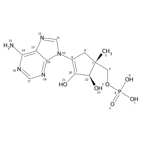 C[C@]1(COP(=O)(O)O)CC(n2cnc3c(N)ncnc32)=C(O)[C@@H]1O